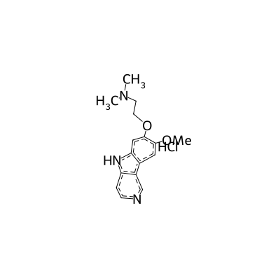 COc1cc2c(cc1OCCN(C)C)[nH]c1ccncc12.Cl